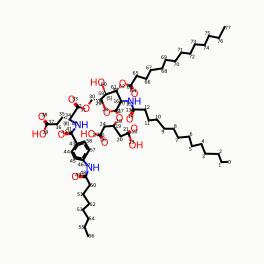 CCCCCCCCCCCCCC(=O)N[C@H]1[C@@H](OC(CC(=O)O)CC(=O)O)O[C@H](COC(=O)[C@@H](CCC(=O)O)NC(=O)c2ccc(NC(=O)CCCCCCC)cc2)[C@@H](O)[C@@H]1OC(=O)CCCCCCCCCCCCC